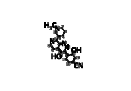 CN1CCC[C@@H](c2nccc3c(O)c(-c4ccc(C#N)cc4O)nnc23)C1